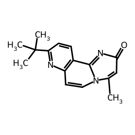 Cc1cc(=O)nc2c3ccc(C(C)(C)C)nc3ccn12